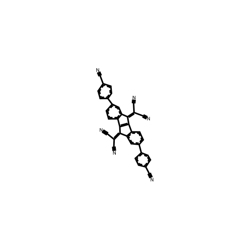 N#CC(C#N)=C1C2=C(C(=C(C#N)C#N)c3cc(-c4ccc(C#N)cc4)ccc32)c2ccc(-c3ccc(C#N)cc3)cc21